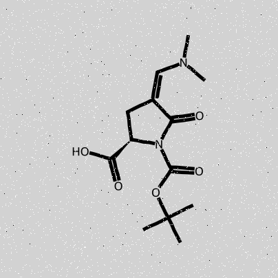 CN(C)C=C1C[C@H](C(=O)O)N(C(=O)OC(C)(C)C)C1=O